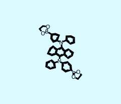 c1ccc(N(c2ccc(B3OCCO3)cc2)c2c3ccccc3c(N(c3ccccc3)c3ccc(B4OCCO4)cc3)c3ccccc23)cc1